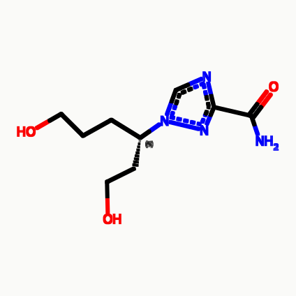 NC(=O)c1ncn([C@H](CCO)CCCO)n1